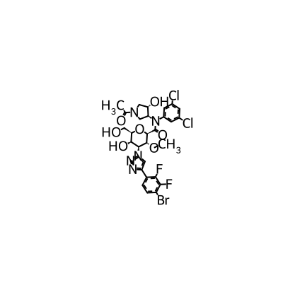 CO[C@@H]1[C@@H](n2cc(-c3ccc(Br)c(F)c3F)nn2)[C@@H](O)[C@@H](CO)O[C@H]1C(=O)N(c1cc(Cl)cc(Cl)c1)[C@H]1CN(C(C)=O)C[C@@H]1O